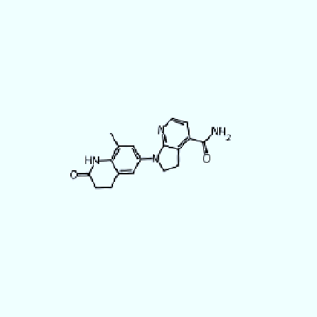 Cc1cc(N2CCc3c(C(N)=O)ccnc32)cc2c1NC(=O)CC2